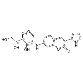 O=C[C@H](Nc1ccc2cc(-c3ccc[nH]3)c(=O)oc2c1)[C@@H](O)[C@H](O)[C@H](O)CO